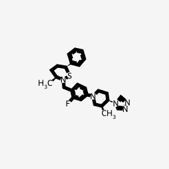 C[C@H]1CN(c2ccc(CN3S[C@@H](c4ccccc4)CC[C@@H]3C)c(F)c2)CC[C@@H]1n1cnnc1